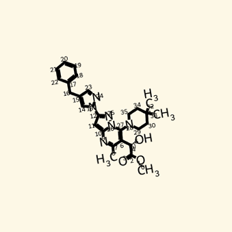 COC(=O)[C@@H](O)c1c(C)nc2cc(-n3cc(Cc4ccccc4)cn3)nn2c1N1CCC(C)(C)CC1